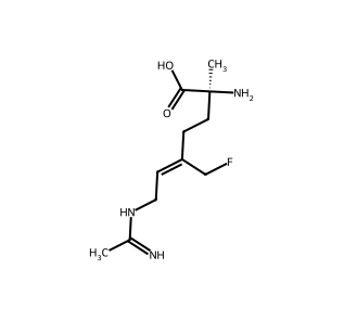 CC(=N)NC/C=C(\CF)CC[C@](C)(N)C(=O)O